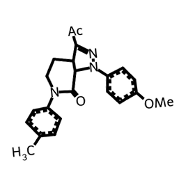 COc1ccc(N2N=C(C(C)=O)C3CCN(c4ccc(C)cc4)C(=O)C32)cc1